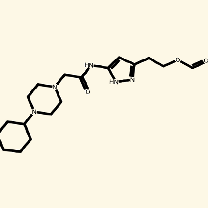 O=COCCc1cc(NC(=O)CN2CCN(C3CCCCC3)CC2)[nH]n1